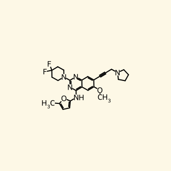 COc1cc2c(Nc3ccc(C)o3)nc(N3CCC(F)(F)CC3)nc2cc1C#CCN1CCCC1